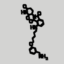 NCc1cccc(OCCCCCNc2cccc3c2C(=O)N(C2CCC(=O)NC2=O)C3=O)c1